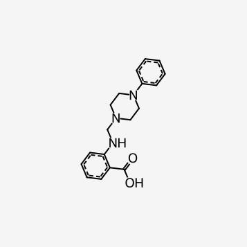 O=C(O)c1ccccc1NCN1CCN(c2ccccc2)CC1